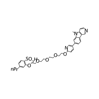 CCCc1ccc(S(=O)(=O)O)c(OCCOCCOCCOCCOc2ccc(-c3ccc4c5cnccc5n(C)c4c3)cn2)c1